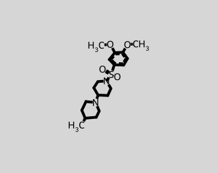 COc1ccc(S(=O)(=O)N2CCC(N3CCC(C)CC3)CC2)cc1OC